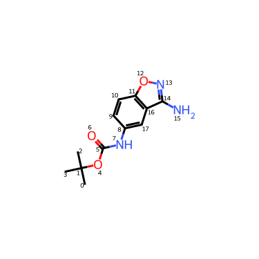 CC(C)(C)OC(=O)Nc1ccc2onc(N)c2c1